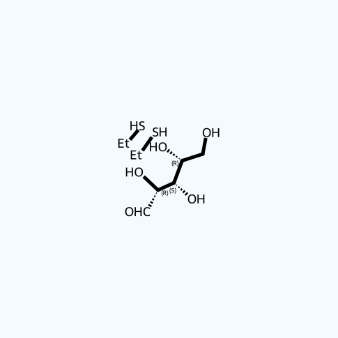 CCS.CCS.O=C[C@H](O)[C@@H](O)[C@H](O)CO